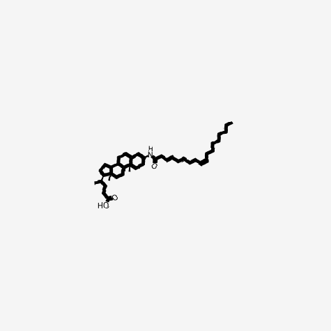 CCCCCCCC/C=C\CCCCCCCC(=O)N[C@H]1CC[C@@]2(C)C(CCC3C2CC[C@@]2(C)C3CC[C@@H]2C(C)CCC(=O)O)C1